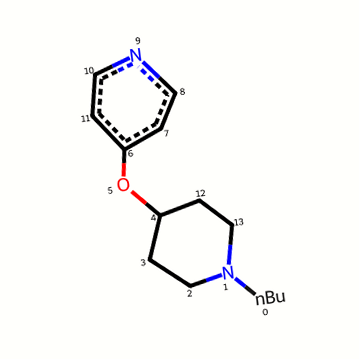 CCCCN1CCC(Oc2ccncc2)CC1